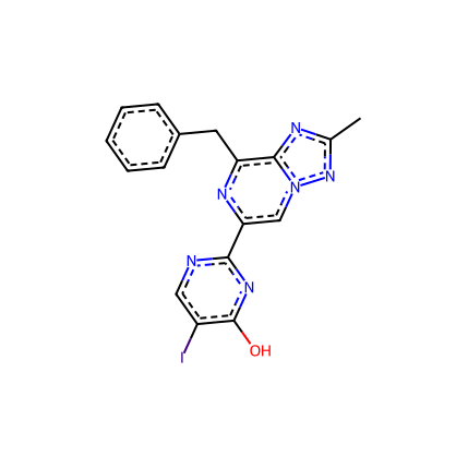 Cc1nc2c(Cc3ccccc3)nc(-c3ncc(I)c(O)n3)cn2n1